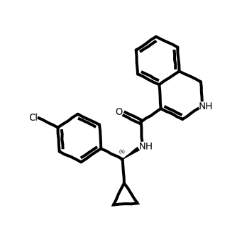 O=C(N[C@H](c1ccc(Cl)cc1)C1CC1)C1=CNCc2ccccc21